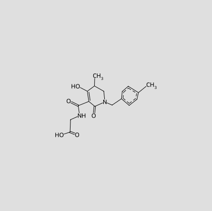 Cc1ccc(CN2CC(C)C(O)=C(C(=O)NCC(=O)O)C2=O)cc1